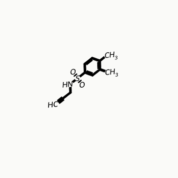 C#CCNS(=O)(=O)c1ccc(C)c(C)c1